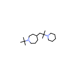 CC(C)(C)N1CCCC(CC(C)(C)N2CCCCC2)CC1